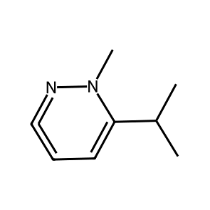 CC(C)C1=CC=C=NN1C